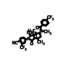 CN(C(=O)c1ccc(C(F)(F)F)cc1)[C@@H]1CC2(C)OC1(C)[C@@H]1C(=O)N(c3ccc(C#N)c(C(F)(F)F)c3)C(=O)C12